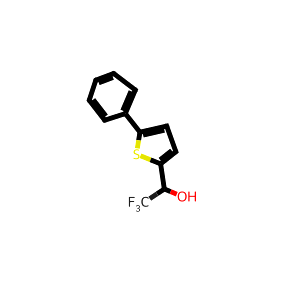 OC(c1ccc(-c2ccccc2)s1)C(F)(F)F